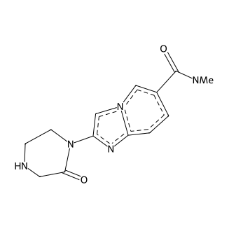 CNC(=O)c1ccc2nc(N3CCNCC3=O)cn2c1